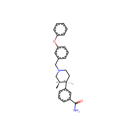 C[C@H]1CN(Cc2cccc(Oc3ccccc3)c2)CC[C@@]1(C)c1cccc(C(N)=O)c1